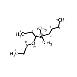 CCCC[Si](C)(C)C(CC)OSCC